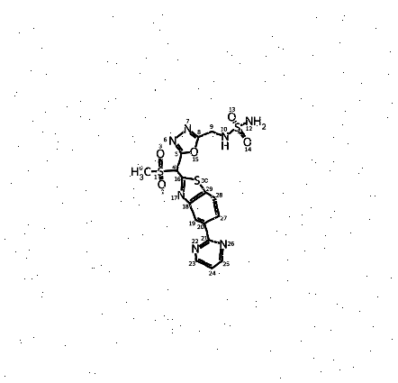 CS(=O)(=O)C(c1nnc(CNS(N)(=O)=O)o1)c1nc2cc(-c3ncccn3)ccc2s1